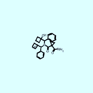 NC(=O)C1(C(=O)N(C(c2ccccc2)C2(O)CCC2)C(c2ccccc2)C2(O)CCC2)CC1